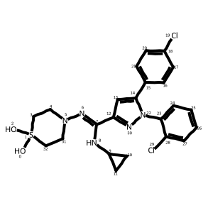 OS1(O)CCN(N=C(NC2CC2)c2cc(-c3ccc(Cl)cc3)n(-c3ccccc3Cl)n2)CC1